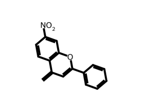 C=C1C=C(c2ccccc2)Oc2cc([N+](=O)[O-])ccc21